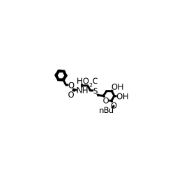 CCCCOC1OC(CSCCC(NC(=O)OCc2ccccc2)C(=O)O)CC(O)C1O